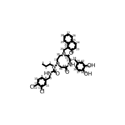 CCCN(C(=O)NCc1ccc(Cl)c(Cl)c1)N1CCN(Cc2cccc3ccccc23)C(=O)[C@H](Cc2ccc(O)c(O)c2)NC(=O)C1